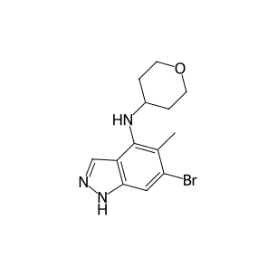 Cc1c(Br)cc2[nH]ncc2c1NC1CCOCC1